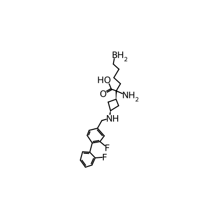 BCCCCC(N)(C(=O)O)[C@H]1C[C@@H](NCc2ccc(-c3ccccc3F)c(F)c2)C1